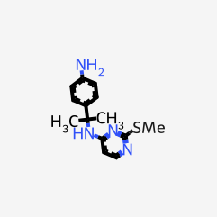 CSc1nccc(NC(C)(C)c2ccc(N)cc2)n1